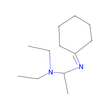 CCN(CC)C(C)N=C1CCCCC1